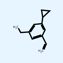 C=[C]c1cc(CC)cc(C2CC2)c1